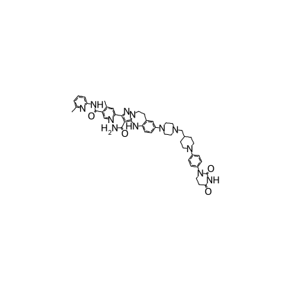 Cc1cccc(NC(=O)c2cnc(-c3nn4c(c3C(N)=O)Nc3ccc(N5CCN(CC6CCN(c7ccc(N8CCC(=O)NC8=O)cc7)CC6)CC5)cc3CC4)cc2C)n1